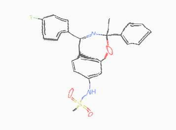 CC1(c2ccccc2)N=C(c2ccc(F)cc2)c2ccc(NS(C)(=O)=O)cc2O1